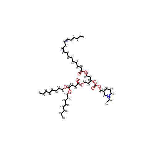 CCCCC/C=C\C/C=C\CCCCCCCC(=O)OCCC(CCOC(=O)CCC(OCCCCCCCC)OCCCCCCCC)OC(=O)OCC1CCCN(CC)C1